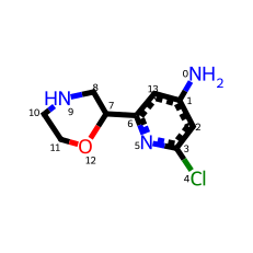 Nc1cc(Cl)nc(C2CNCCO2)c1